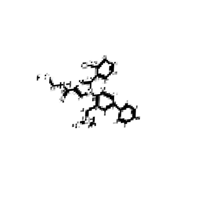 O=[SH](=O)Cc1cc(-c2ccccc2)ccc1-n1cc(C(=S)NCC(F)(F)F)nc1-c1ccccc1Cl